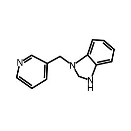 c1cncc(CN2CNc3ccccc32)c1